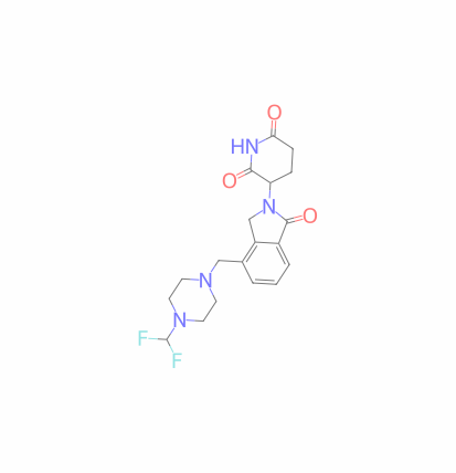 O=C1CCC(N2Cc3c(CN4CCN(C(F)F)CC4)cccc3C2=O)C(=O)N1